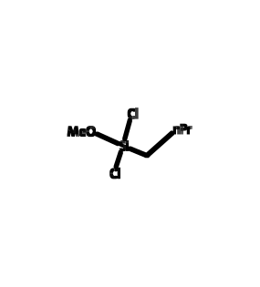 CCCC[Si](Cl)(Cl)OC